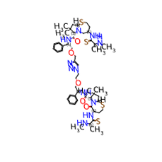 CN[C@@H](C)C(=S)N[C@H]1CCS[C@H]2CC(C)(C)[C@@H](C(=O)N[C@H](COCc3cn(CCOC[C@@H](NC(=O)[C@H]4N5C(=O)[C@@H](NC(=S)[C@H](C)NC)CCS[C@H]5CC4(C)C)c4ccccc4)nn3)c3ccccc3)N2C1